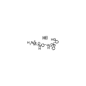 Cl.Cl.Nc1nc(CC(=O)Nc2ccc(CCNCC(OC(=O)Cc3ccccc3O)c3ccccc3)cc2)cs1